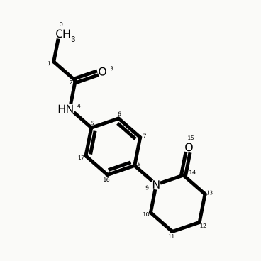 CCC(=O)Nc1ccc(N2CCCCC2=O)cc1